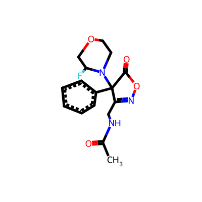 CC(=O)NCC1=NOC(=O)C1(c1ccccc1)N1CCOCC1F